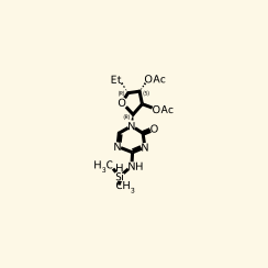 CC[C@H]1O[C@@H](n2cnc(N[SiH](C)C)nc2=O)C(OC(C)=O)[C@H]1OC(C)=O